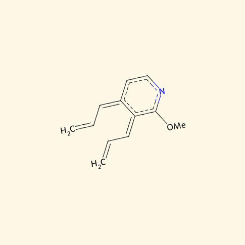 C=C/C=c1/ccnc(OC)/c1=C/C=C